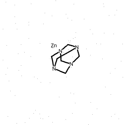 C1N2CN3CN1CN(C2)C3.[Zn]